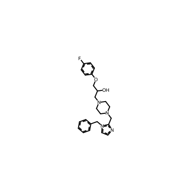 OC(COc1ccc(F)cc1)CN1CCN(Cc2nccn2Cc2ccccc2)CC1